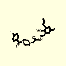 CCCc1cc(F)cc(C=NNC(=O)CN2CCN(C(=O)c3ccc(F)cc3)CC2)c1O